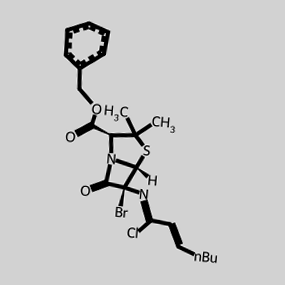 CCCCC=CC(Cl)=N[C@]1(Br)C(=O)N2[C@@H](C(=O)OCc3ccccc3)C(C)(C)S[C@@H]21